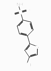 CC1=C[N]C(c2ccc(S(N)(=O)=O)cc2)=C1